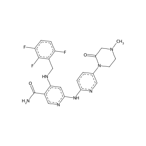 CN1CCN(c2ccc(Nc3cc(NCc4c(F)ccc(F)c4F)c(C(N)=O)cn3)nc2)C(=O)C1